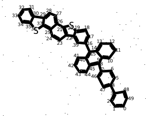 c1ccc(-c2ccc(-c3c4ccccc4c(-c4ccc5sc6c(ccc7c6ccc6c8ccccc8sc67)c5c4)c4ccccc34)cc2)cc1